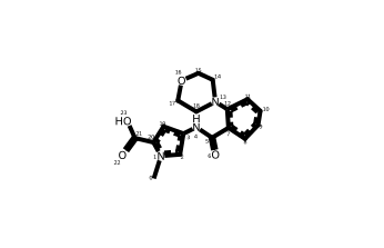 Cn1cc(NC(=O)c2ccccc2N2CCOCC2)cc1C(=O)O